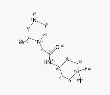 CC(C)C1CN(C)CCN1CC(=O)NC1CCC(F)(F)CC1